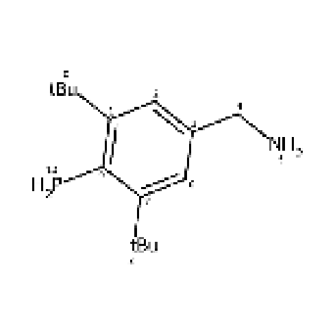 CC(C)(C)c1cc(CN)cc(C(C)(C)C)c1P